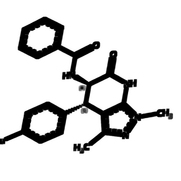 Cc1nn(C)c2c1[C@H](c1ccc(C(C)(C)C)cc1)[C@@H](NC(=O)c1ccccc1)C(=O)N2